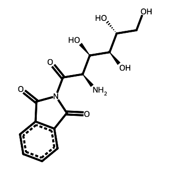 N[C@@H](C(=O)N1C(=O)c2ccccc2C1=O)[C@@H](O)[C@H](O)[C@H](O)CO